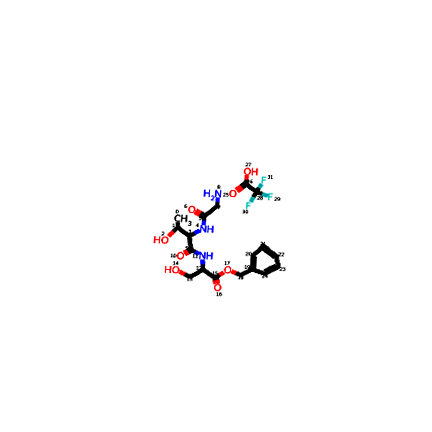 CC(O)C(NC(=O)CN)C(=O)NC(CO)C(=O)OCc1ccccc1.O=C(O)C(F)(F)F